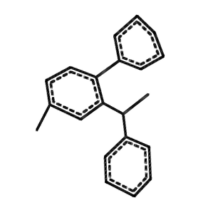 Cc1ccc(-c2ccccc2)c(C(C)c2ccccc2)c1